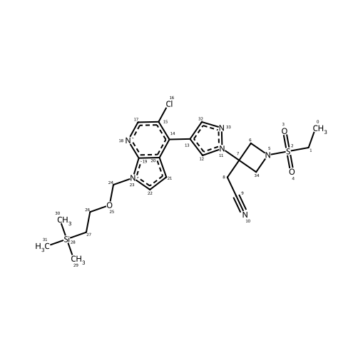 CCS(=O)(=O)N1CC(CC#N)(n2cc(-c3c(Cl)cnc4c3ccn4COCC[Si](C)(C)C)cn2)C1